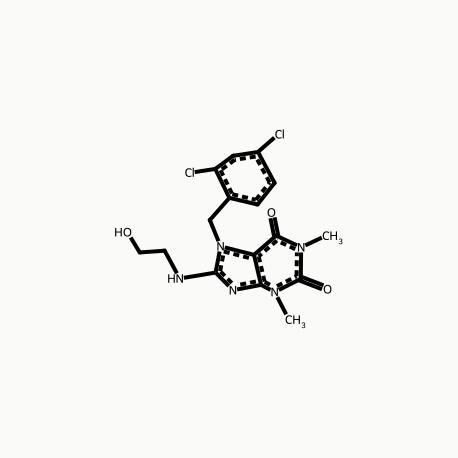 Cn1c(=O)c2c(nc(NCCO)n2Cc2ccc(Cl)cc2Cl)n(C)c1=O